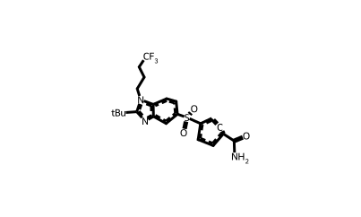 CC(C)(C)c1nc2cc(S(=O)(=O)c3ccc(C(N)=O)cc3)ccc2n1CCCC(F)(F)F